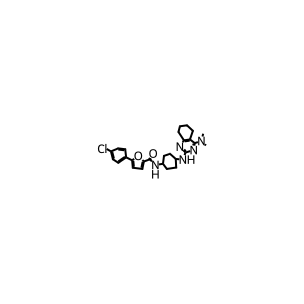 CN(C)c1nc(NC2CCC(NC(=O)c3ccc(-c4ccc(Cl)cc4)o3)CC2)nc2c1CCCC2